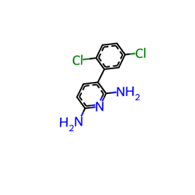 Nc1ccc(-c2cc(Cl)ccc2Cl)c(N)n1